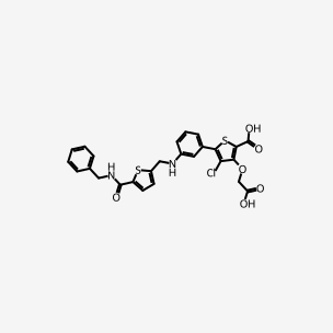 O=C(O)COc1c(C(=O)O)sc(-c2cccc(NCc3ccc(C(=O)NCc4ccccc4)s3)c2)c1Cl